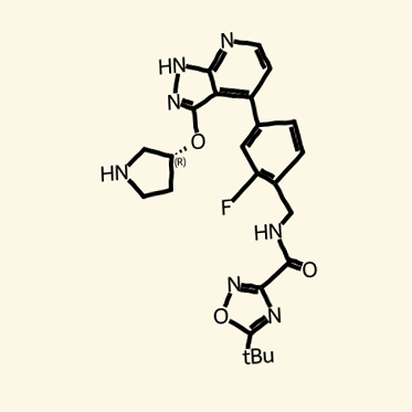 CC(C)(C)c1nc(C(=O)NCc2ccc(-c3ccnc4[nH]nc(O[C@@H]5CCNC5)c34)cc2F)no1